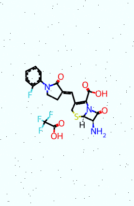 N[C@@H]1C(=O)N2C(C(=O)O)=C(C=C3CCN(c4ccccc4F)C3=O)CS[C@H]12.O=C(O)C(F)(F)F